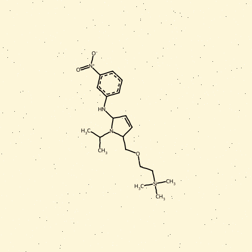 CC(C)N1C(COCC[Si](C)(C)C)C=CC1Nc1cccc([N+](=O)[O-])c1